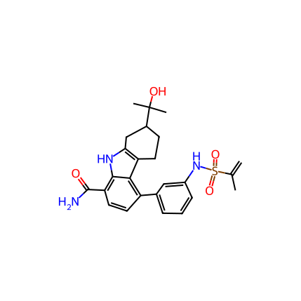 C=C(C)S(=O)(=O)Nc1cccc(-c2ccc(C(N)=O)c3[nH]c4c(c23)CCC(C(C)(C)O)C4)c1